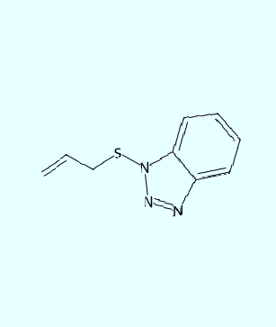 C=CCSn1nnc2ccccc21